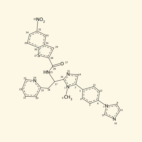 Cn1c(-c2ccc(-n3ccnc3)cc2)cnc1C(Cc1ccccn1)NC(=O)c1cc2cc([N+](=O)[O-])ccc2s1